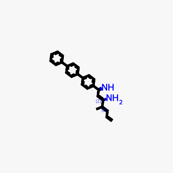 C=C/C=C(C)/C(N)=C/C(=N)c1ccc(-c2ccc(-c3ccccc3)cc2)cc1